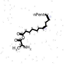 CCCCC/C=C\C/C=C\CCCCCC(=O)OC(=O)C(C)N